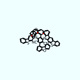 N#Cc1c(-c2cccc3oc4ccccc4c23)c(C#N)c(-n2c3ccccc3c3cc4c(cc32)sc2ccccc24)c(-c2cccc3oc4ccccc4c23)c1-n1c2ccccc2c2cc3c(cc21)sc1ccccc13